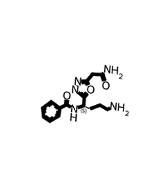 NCCC[C@H](NC(=O)c1ccccc1)c1nnc(CC(N)=O)o1